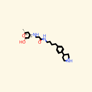 C[C@@H]1C[C@H](NCCC(=O)NCCCCc2ccc(C3CCNCC3)cc2)C[C@H](O)O1